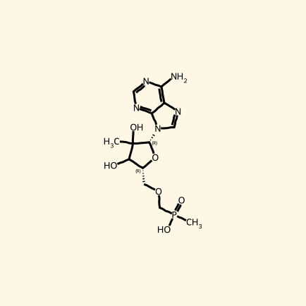 CC1(O)C(O)[C@@H](COCP(C)(=O)O)O[C@H]1n1cnc2c(N)ncnc21